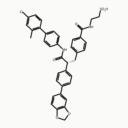 Cc1cc(Cl)ccc1-c1ccc(NC(=O)[C@H](Cc2ccc(C(=O)NCCS(=O)(=O)O)cc2)c2ccc(-c3ccc4c(c3)OCO4)cc2)cc1